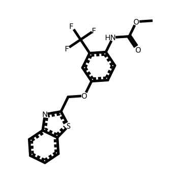 COC(=O)Nc1ccc(OCc2nc3ccccc3s2)cc1C(F)(F)F